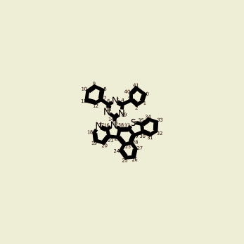 c1ccc(-c2nc(-c3ccccc3)nc(-n3c4ncccc4c4c5ccccc5c5c6ccccc6sc5c43)n2)cc1